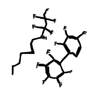 CCCCCCNC(F)(F)C(F)(F)F.Fc1ccc(-c2c(F)c(F)c(F)c(F)c2F)c(F)c1F